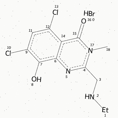 Br.CCNCc1nc2c(O)c(Cl)cc(Cl)c2c(=O)n1C